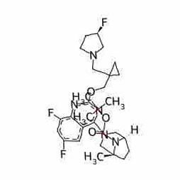 CC(C)(C)OC(=O)N1[C@@H]2CC[C@]1(C)CN(c1nc(OCC3(CN4CC[C@@H](F)C4)CC3)nc3c(F)cc(F)cc13)C2